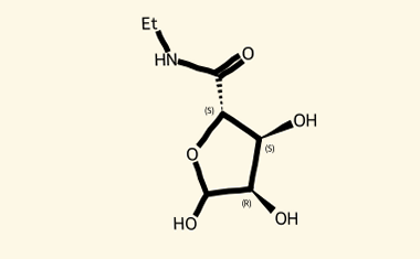 CCNC(=O)[C@H]1OC(O)[C@H](O)[C@@H]1O